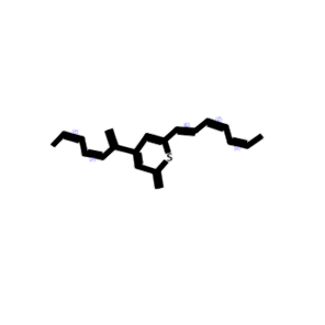 C=C1C=C(C(=C)/C=C\C=C/C)C=C(/C=C/C=C\C=C/C)S1